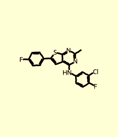 Cc1nc(Nc2ccc(F)c(Cl)c2)c2cc(-c3ccc(F)cc3)sc2n1